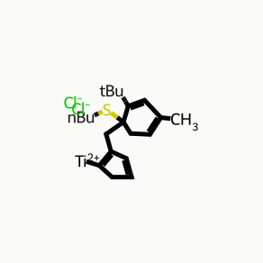 CCCCSC1(CC2=[C]([Ti+2])CC=C2)CC=C(C)C=C1C(C)(C)C.[Cl-].[Cl-]